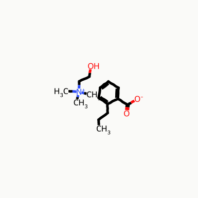 CCCc1ccccc1C(=O)[O-].C[N+](C)(C)CCO